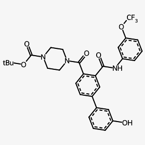 CC(C)(C)OC(=O)N1CCN(C(=O)c2ccc(-c3cccc(O)c3)cc2C(=O)Nc2cccc(OC(F)(F)F)c2)CC1